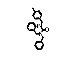 Cc1ccc(CNC(=O)N(Cc2ccccc2)Cc2ccccc2)cc1